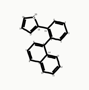 [c]1cccc(-c2cccc3ccccc23)c1-c1cccs1